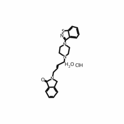 Cl.O.O=C1c2ccccc2CN1CC=CCN1CCN(c2nsc3ccccc23)CC1